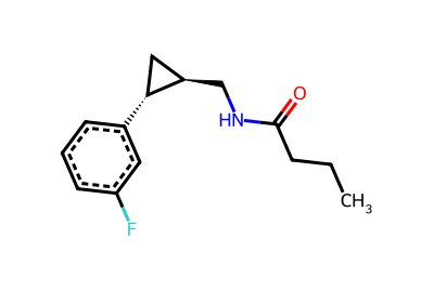 CCCC(=O)NC[C@@H]1C[C@H]1c1cccc(F)c1